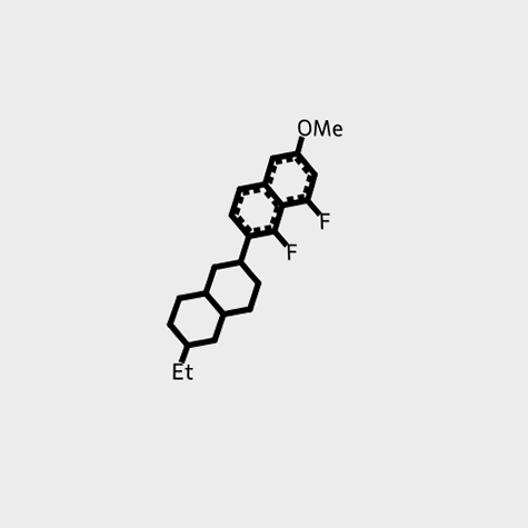 CCC1CCC2CC(c3ccc4cc(OC)cc(F)c4c3F)CCC2C1